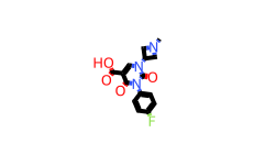 CN1CC(n2cc(C(=O)O)c(=O)n(-c3ccc(F)cc3)c2=O)C1